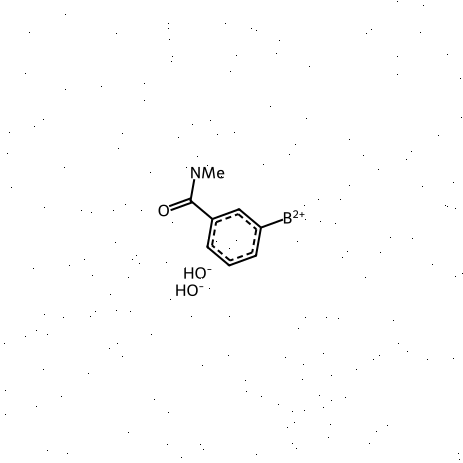 [B+2]c1cccc(C(=O)NC)c1.[OH-].[OH-]